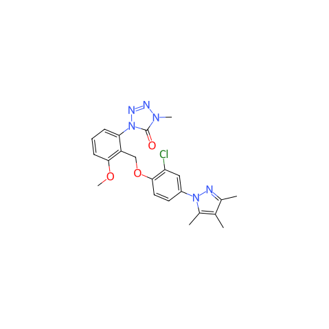 COc1cccc(-n2nnn(C)c2=O)c1COc1ccc(-n2nc(C)c(C)c2C)cc1Cl